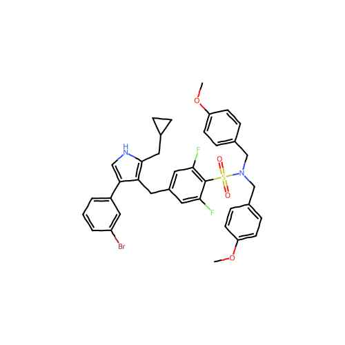 COc1ccc(CN(Cc2ccc(OC)cc2)S(=O)(=O)c2c(F)cc(Cc3c(-c4cccc(Br)c4)c[nH]c3CC3CC3)cc2F)cc1